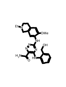 CCN1CCc2cc(OC)c(Nc3nnc(C(N)=O)c(Nc4ccccc4CO)n3)cc2C1